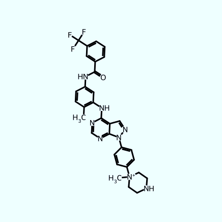 Cc1ccc(NC(=O)c2cccc(C(F)(F)F)c2)cc1Nc1ncnc2c1cnn2-c1ccc([N+]2(C)CCNCC2)cc1